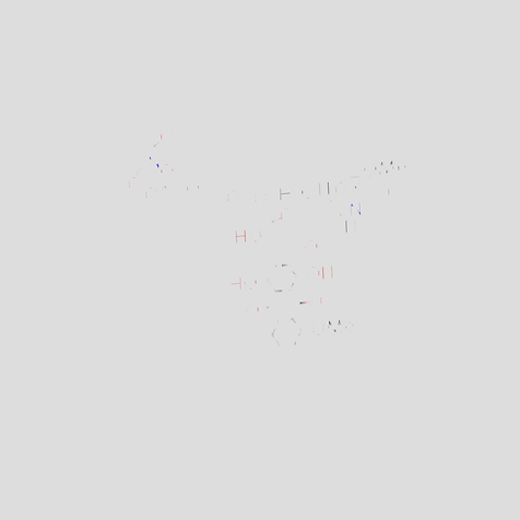 COc1cccc2c1C(=O)c1c(O)c3c(c(O)c1C2=O)C[C@@](O)(C(=O)COC1CCCC(COCC(=O)ON2C(=O)CCC2=O)O1)C[C@@H]3O[C@@H]1C[C@@H](C)[C@H]2O[C@@H]3[C@@H](OC)OCCN3[C@H]2C1